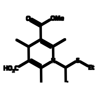 [CH2]C(SCC)N1C(C)=C(C(=O)O)C(C)C(C(=O)OC)=C1C